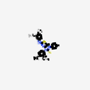 Cc1ccc(N2C(=S)N(c3ccc(C#N)c(C(F)(F)F)c3)/C(=N/C(=S)Nc3ccc(C#N)c(C(F)(F)F)c3)C2(C)C)cc1